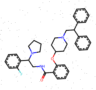 O=C(NCC(c1ccccc1F)N1CCCC1)c1ccccc1OC1CCN(CC(c2ccccc2)c2ccccc2)CC1